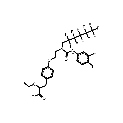 CCOC(Cc1ccc(OCCN(CC(F)(F)C(F)(F)C(F)(F)C(F)(F)C(F)(F)F)C(=O)Nc2ccc(F)c(F)c2)cc1)C(=O)O